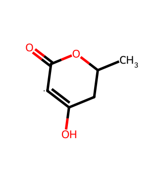 CC1CC(O)=[C]C(=O)O1